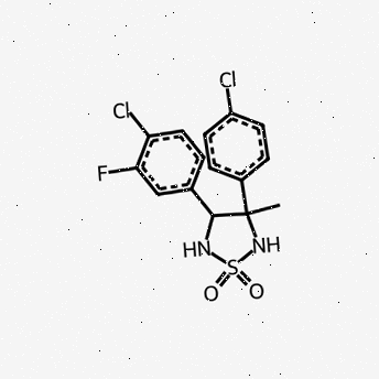 CC1(c2ccc(Cl)cc2)NS(=O)(=O)NC1c1ccc(Cl)c(F)c1